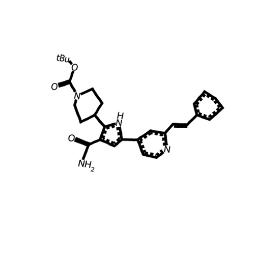 CC(C)(C)OC(=O)N1CCC(c2[nH]c(-c3ccnc(/C=C/c4ccccc4)c3)cc2C(N)=O)CC1